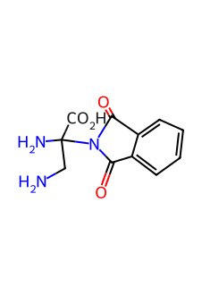 NCC(N)(C(=O)O)N1C(=O)c2ccccc2C1=O